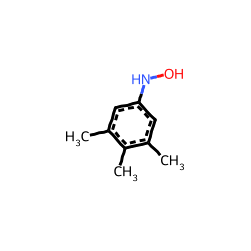 Cc1cc(NO)cc(C)c1C